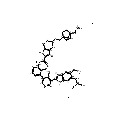 COCC12CCC(CCN3CCc4sc(C(=O)Nc5cccc(-c6cccc(-c7nc8cc(CO)c(OC(F)F)cc8o7)c6C)c5Cl)nc4C3)(CC1)C2